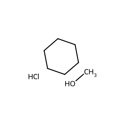 C1CCCCC1.CO.Cl